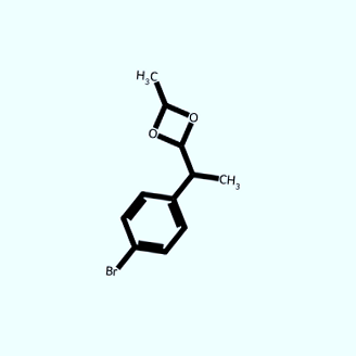 CC1OC(C(C)c2ccc(Br)cc2)O1